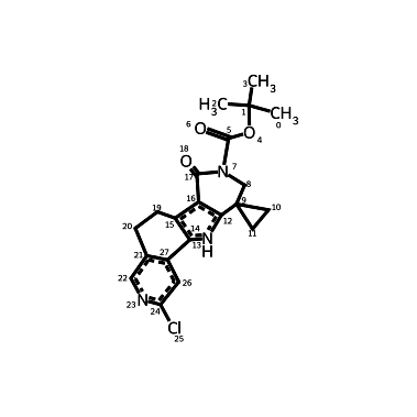 CC(C)(C)OC(=O)N1CC2(CC2)c2[nH]c3c(c2C1=O)CCc1cnc(Cl)cc1-3